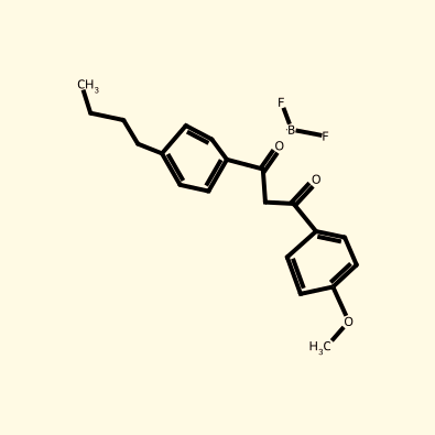 CCCCc1ccc(C(=O)CC(=O)c2ccc(OC)cc2)cc1.F[B]F